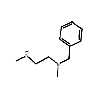 CNCCN(C)Cc1ccccc1